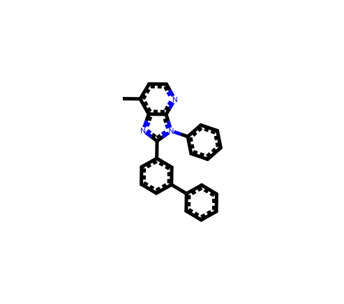 Cc1ccnc2c1nc(-c1cccc(-c3ccccc3)c1)n2-c1ccccc1